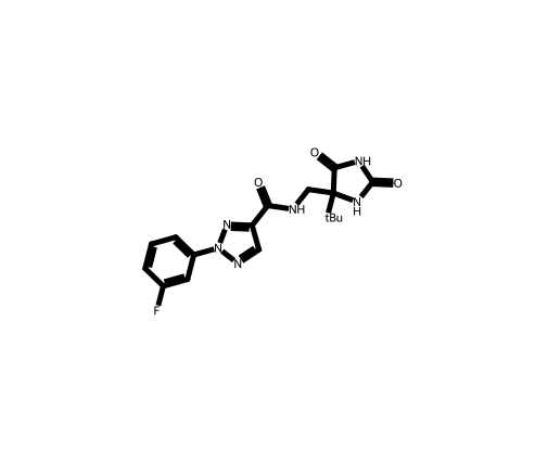 CC(C)(C)C1(CNC(=O)c2cnn(-c3cccc(F)c3)n2)NC(=O)NC1=O